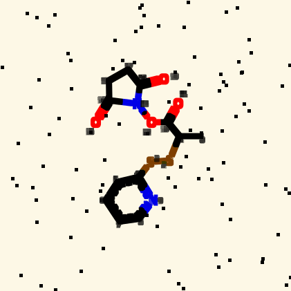 CC(SSc1ccccn1)C(=O)ON1C(=O)CCC1=O